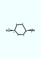 CCC(C)[C@H]1CC[C@@H](O)CC1